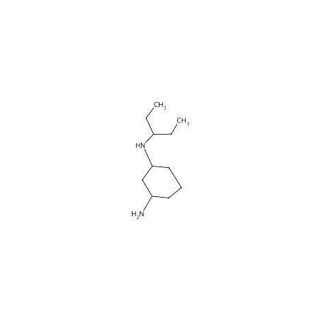 CCC(CC)NC1CCCC(N)C1